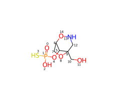 O=P(O)(S)OC1C2COC1(CO)CNO2